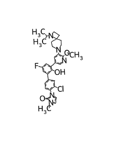 COc1ncc(-c2cc(F)cc(-c3ccc(-n4ccn(C)c4=O)c(Cl)c3)c2O)cc1N1CCC2(CC1)CCN2C(C)C